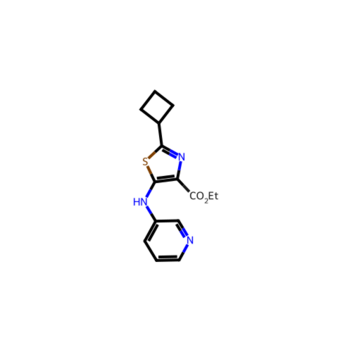 CCOC(=O)c1nc(C2CCC2)sc1Nc1cccnc1